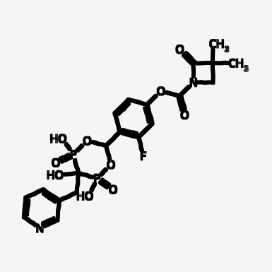 CC1(C)CN(C(=O)Oc2ccc(C3OP(=O)(O)C(O)(Cc4cccnc4)P(=O)(O)O3)c(F)c2)C1=O